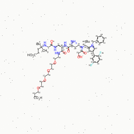 CCC(C)C(C)(CCC(=O)O)NCC(=O)NC[C@@H](NC(=O)[C@@H](N)CCN(C(=O)CO)[C@@H](c1cc(-c2cc(F)ccc2F)cn1Cc1ccccc1)C(C)(C)C)C(=O)NCCOCCOCCOCCOCCC(=O)O